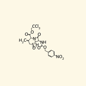 C=C1C[S+]([O-])[C@@H]2C(NC(=O)OCc3ccc([N+](=O)[O-])cc3)C(=O)N2C1C(=O)OCC(Cl)(Cl)Cl